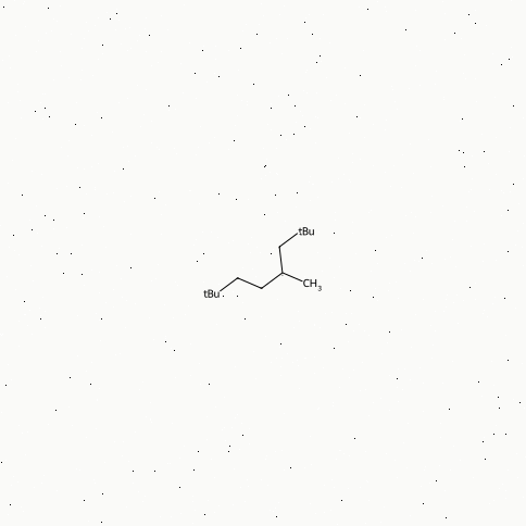 C[C](CCC(C)(C)C)CC(C)(C)C